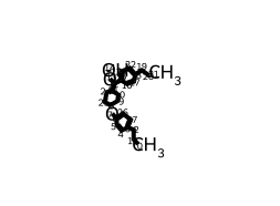 CCCc1ccc(OC2CCC(C(OO)c3ccc(CCC)cc3)CC2)cc1